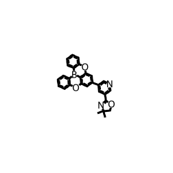 CC1(C)COC(c2cncc(-c3cc4c5c(c3)Oc3ccccc3B5c3ccccc3O4)c2)=N1